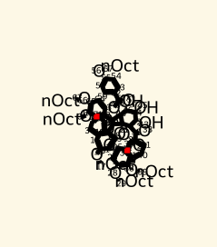 CCCCCCCCOc1ccc(C(=O)O[C@@]2(C(=O)c3ccc(OCCCCCCCC)cc3)[C@@](OC(=O)c3ccc(OCCCCCCCC)cc3)(C(=O)c3ccc(OCCCCCCCC)cc3)[C@@H](O)[C@H](O)[C@@H](O)[C@@]2(OC(=O)c2ccc(OCCCCCCCC)cc2)C(=O)c2ccc(OCCCCCCCC)cc2)cc1